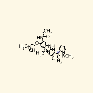 C=CC(=O)Nc1cc(Nc2ncc(Cl)c(/C(C)=C3\C=CC=CN3N=C)n2)c(OC)cc1OCCN(C)C